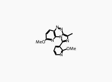 COc1ccc2nnc3c(C)nc(-c4cccnc4OC)n3c2n1